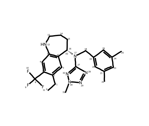 CCc1cc2c(cc1C(F)(F)F)NCCC[C@@H]2N(Cc1cc(C)cc(C)c1)c1nnn(C)n1